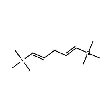 C[Si](C)(C)/C=C/C/C=C/[Si](C)(C)C